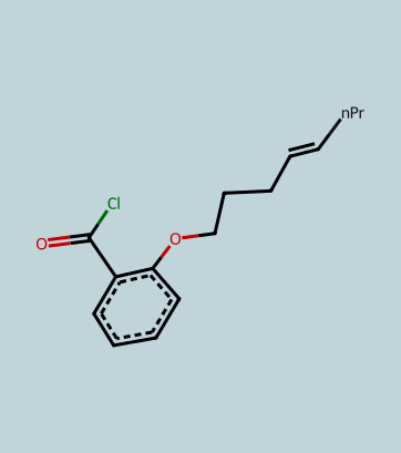 CCCC=CCCCOc1ccccc1C(=O)Cl